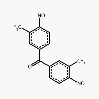 O=Nc1ccc(C(=O)c2ccc(N=O)c(C(F)(F)F)c2)cc1C(F)(F)F